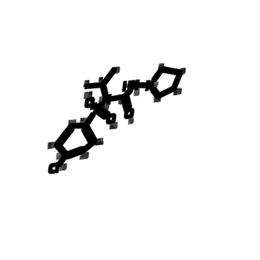 CC(C)N(C(=O)NN1CCCC1)S(=O)(=O)c1ccc(Cl)cc1